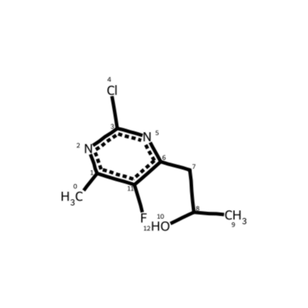 Cc1nc(Cl)nc(CC(C)O)c1F